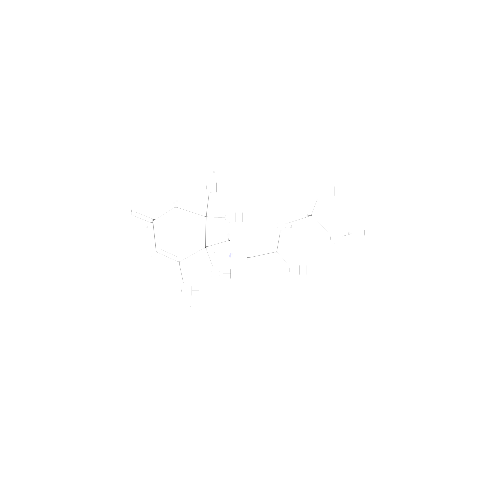 CCOC(C)OC(C)/C=C/C1(O)C(C)=CC(=O)CC1(C)C